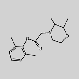 Cc1cccc(C)c1OC(=O)CN1CCOC(C)C1C